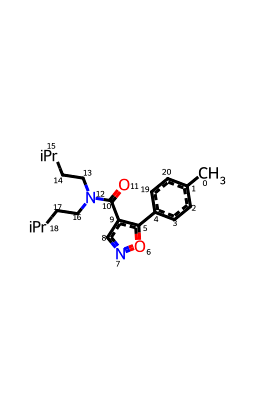 Cc1ccc(-c2oncc2C(=O)N(CCC(C)C)CCC(C)C)cc1